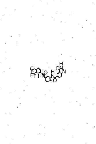 Cc1ccc(NC(=O)c2ccc(Cl)c(C(F)(F)F)c2)cc1NC(=O)c1ccc2nc[nH]c(=O)c2c1